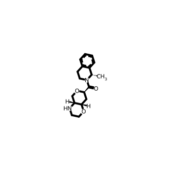 C[C@H]1c2ccccc2CCN1C(=O)[C@H]1C[C@@H]2OCCN[C@@H]2CO1